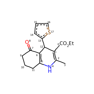 CCOC(=O)C1=C(C)NC2=C(C(=O)CCC2)C1c1cccs1